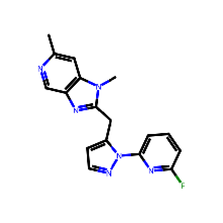 Cc1cc2c(cn1)nc(Cc1ccnn1-c1cccc(F)n1)n2C